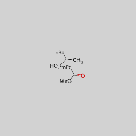 CCCC(=O)OC.CCCCC(C)C(=O)O